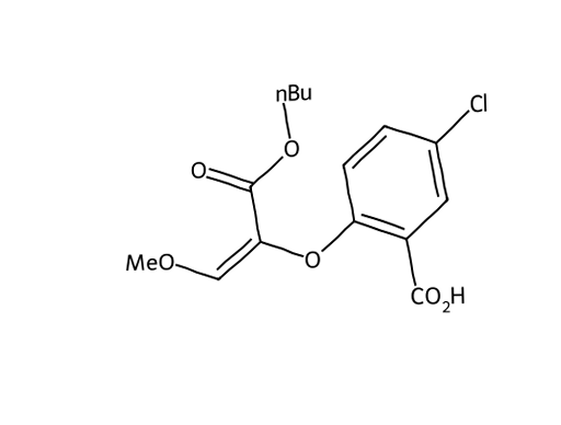 CCCCOC(=O)C(=COC)Oc1ccc(Cl)cc1C(=O)O